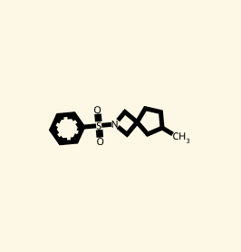 CC1CCC2(C1)CN(S(=O)(=O)c1ccccc1)C2